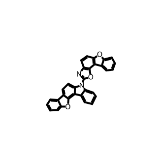 c1ccc2c(c1)oc1c2ccc2c1c1ccccc1n2-c1nc2ccc3oc4ccccc4c3c2o1